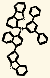 c1ccc(-c2cc(-c3ccccc3)cc(N(c3ccc(-c4ccc5oc6ccccc6c5c4)c4ccccc34)c3cccc4c3sc3ccccc34)c2)cc1